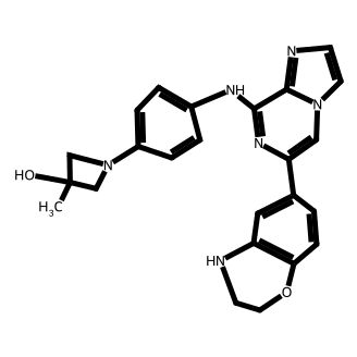 CC1(O)CN(c2ccc(Nc3nc(-c4ccc5c(c4)NCCO5)cn4ccnc34)cc2)C1